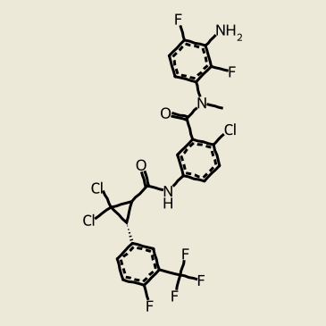 CN(C(=O)c1cc(NC(=O)C2[C@H](c3ccc(F)c(C(F)(F)F)c3)C2(Cl)Cl)ccc1Cl)c1ccc(F)c(N)c1F